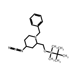 CC(C)(C)[Si](C)(C)OCC1CC(N=[N+]=[N-])CCN1Cc1ccccc1